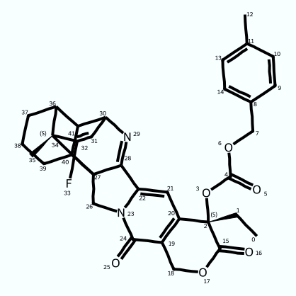 CC[C@@]1(OC(=O)OCc2ccc(C)cc2)C(=O)OCc2c1cc1n(c2=O)CC23C1=NC1C=C(F)[C@@]2(C)C2CCCC3C12